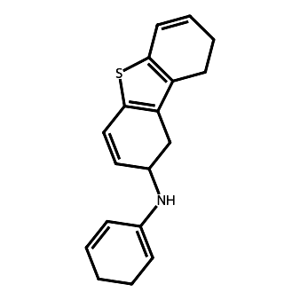 C1=CC(NC2C=Cc3sc4c(c3C2)CCC=C4)=CCC1